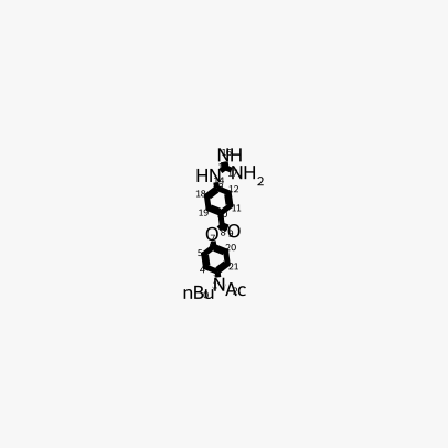 CCCCN(C(C)=O)c1ccc(OC(=O)c2ccc(NC(=N)N)cc2)cc1